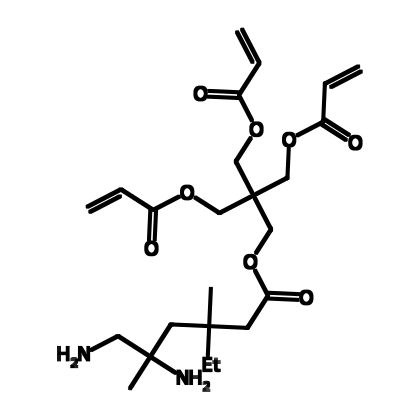 C=CC(=O)OCC(COC(=O)C=C)(COC(=O)C=C)COC(=O)CC(C)(CC)CC(C)(N)CN